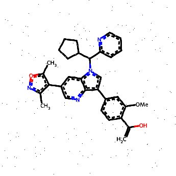 C=C(O)c1ccc(-c2cn(C(c3ccccn3)C3CCCC3)c3cc(-c4c(C)noc4C)cnc23)cc1OC